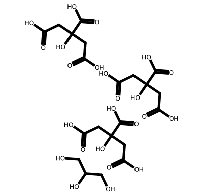 O=C(O)CC(O)(CC(=O)O)C(=O)O.O=C(O)CC(O)(CC(=O)O)C(=O)O.O=C(O)CC(O)(CC(=O)O)C(=O)O.OCC(O)CO